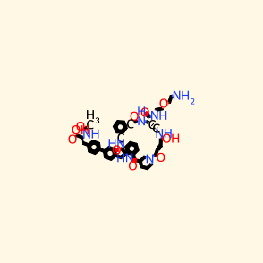 CC(=O)N[C@@H](Cc1ccc(-c2ccc(CC3NC(=O)[C@]4(Cc5ccccc5)CCCN(C4)C(=O)/C=C/C(O)NCC[C@@H](C(=O)NCCOCCN)NC(=O)Cc4ccccc4CNC3=O)cc2)cc1)C(=O)O